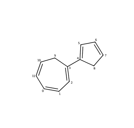 C1=CC=C(C2=CC=CC2)CC=C1